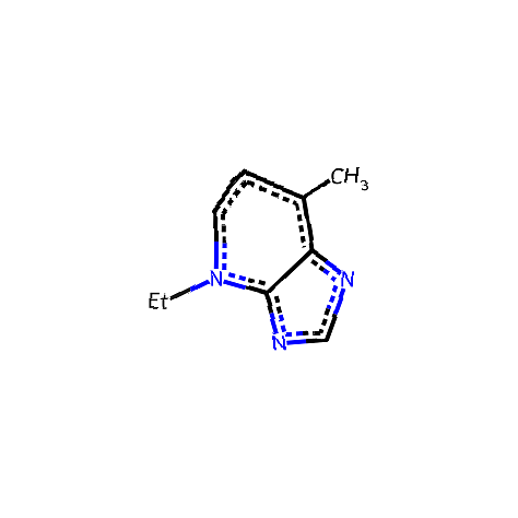 CCn1ccc(C)c2ncnc1-2